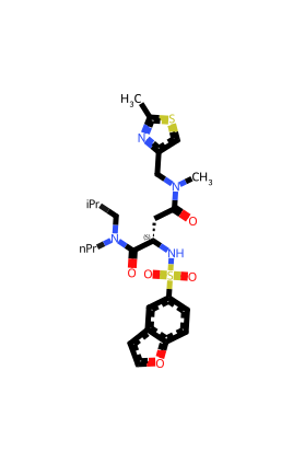 CCCN(CC(C)C)C(=O)[C@H](CC(=O)N(C)Cc1csc(C)n1)NS(=O)(=O)c1ccc2occc2c1